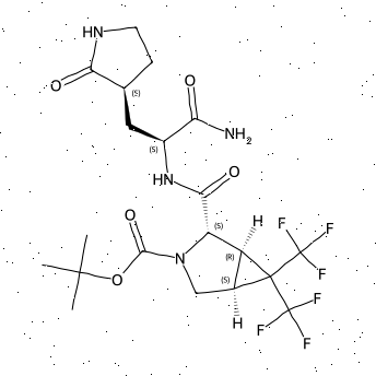 CC(C)(C)OC(=O)N1C[C@H]2[C@@H]([C@H]1C(=O)N[C@@H](C[C@@H]1CCNC1=O)C(N)=O)C2(C(F)(F)F)C(F)(F)F